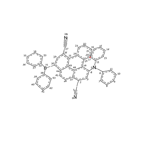 N#Cc1cc(N(c2ccccc2)c2ccccc2)c2c3ccccc3c3c(C#N)cc(B(c4ccccc4)c4ccccc4)c4ccc1c2c43